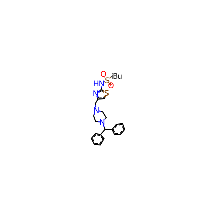 CCC(C)S(=O)(=O)Nc1nc(CN2CCN(C(c3ccccc3)c3ccccc3)CC2)cs1